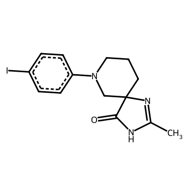 CC1=NC2(CCCN(c3ccc(I)cc3)C2)C(=O)N1